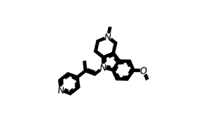 COc1ccc2c(c1)c1c(n2/C=C(\C)c2ccncc2)CCN(C)C1